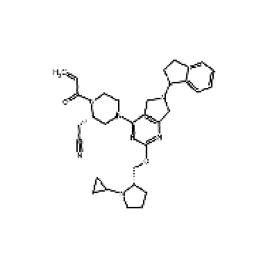 C=CC(=O)N1CCN(c2nc(OC[C@@H]3CCCN3C3CC3)nc3c2CN(C2CCc4ccccc42)C3)C[C@@H]1CC#N